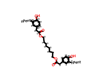 CCCCCc1cc(CC(=O)OCCCCCCCCOC(=O)Cc2ccc(O)c(CCCCC)c2)ccc1O